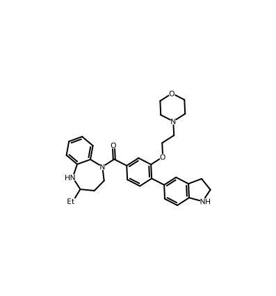 CCC1CCN(C(=O)c2ccc(-c3ccc4c(c3)CCN4)c(OCCN3CCOCC3)c2)c2ccccc2N1